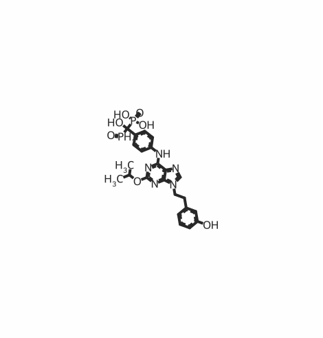 CC(C)Oc1nc(Nc2ccc(C(O)([PH2]=O)P(=O)(O)O)cc2)c2ncn(CCc3cccc(O)c3)c2n1